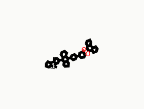 C[Si]1(C)c2ccccc2-c2ccc(-c3c4ccccc4c(-c4ccc(-c5ccc6c(c5)Oc5c(c7ccccc7c7ccccc57)O6)cc4)c4ccccc34)cc21